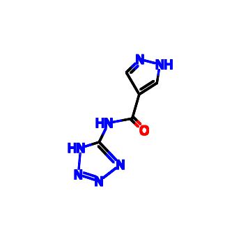 O=C(Nc1nnn[nH]1)c1cn[nH]c1